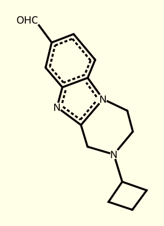 O=Cc1ccc2c(c1)nc1n2CCN(C2CCC2)C1